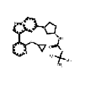 CC(C)(C)OC(=O)N[C@@H]1CCN(c2ccn3ncc(-c4cccnc4OC4CC4)c3n2)C1